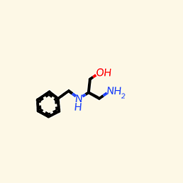 NCC(CO)NCc1ccccc1